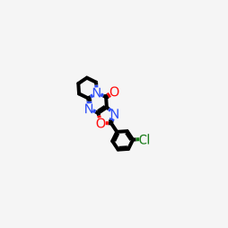 O=c1c2nc(-c3cccc(Cl)c3)oc2nc2n1CCCC2